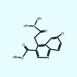 CCCCOC(=O)c1cnc2ccc(Cl)cc2c1CC(=O)N(CCC)CCC